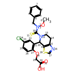 CON(Cc1ccccc1)C(=S)N1CCc2ncsc2C1c1cc(Cl)ccc1OCC(=O)O